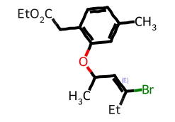 CCOC(=O)Cc1ccc(C)cc1OC(C)/C=C(/Br)CC